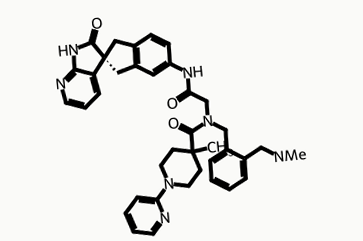 CNCc1ccccc1CN(CC(=O)Nc1ccc2c(c1)C[C@@]1(C2)C(=O)Nc2ncccc21)C(=O)C1(C)CCN(c2ccccn2)CC1